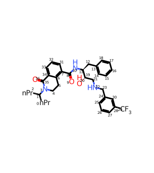 CCCC(CCC)N1CCc2c(C(=O)N[C@@H](Cc3ccccc3)[C@@H](O)CNCc3cccc(C(F)(F)F)c3)cccc2C1=O